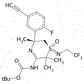 C#Cc1ccc(F)c([C@]2(C)C[S@@](=O)(=NCC(F)(F)F)C(C)(C)C(NC(=O)OC(C)(C)C)=N2)c1